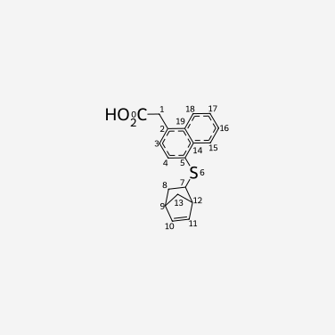 O=C(O)Cc1ccc(SC2CC3C=CC2C3)c2ccccc12